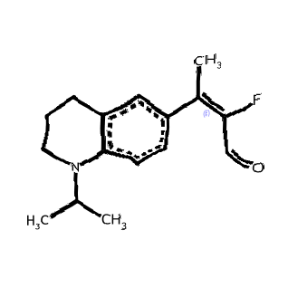 C/C(=C(\F)C=O)c1ccc2c(c1)CCCN2C(C)C